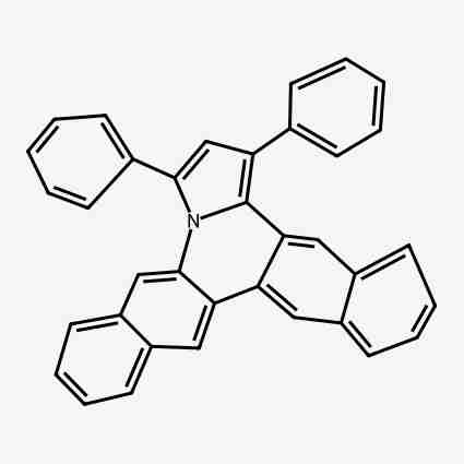 c1ccc(-c2cc(-c3ccccc3)n3c4cc5ccccc5cc4c4cc5ccccc5cc4c23)cc1